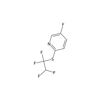 Fc1ccc(SC(F)(F)C(F)F)nc1